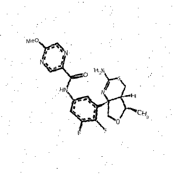 COc1cnc(C(=O)Nc2cc(F)c(F)c([C@]34CO[C@H](C)[C@H]3CSC(N)=N4)c2)cn1